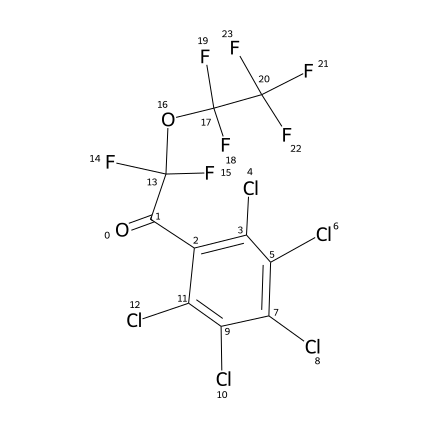 O=C(c1c(Cl)c(Cl)c(Cl)c(Cl)c1Cl)C(F)(F)OC(F)(F)C(F)(F)F